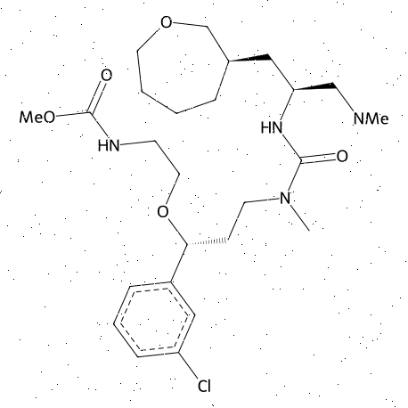 CNC[C@H](C[C@H]1CCCCOC1)NC(=O)N(C)CC[C@@H](OCCNC(=O)OC)c1cccc(Cl)c1